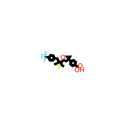 Cc1sc(C)c(C(=O)CC2(c3ccc(C(=O)O)cc3)CC2)c1Cc1ccc(C(F)(F)F)cc1